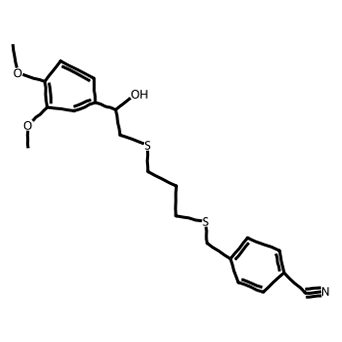 COc1ccc(C(O)CSCCCSCc2ccc(C#N)cc2)cc1OC